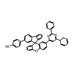 N#Cc1ccc(-c2ccc3c(c2)C2(c4ccccc4Oc4ccc(-c5cc(C6C=CC=CC6)nc(-c6ccccc6)n5)cc42)c2ccccc2-3)cc1